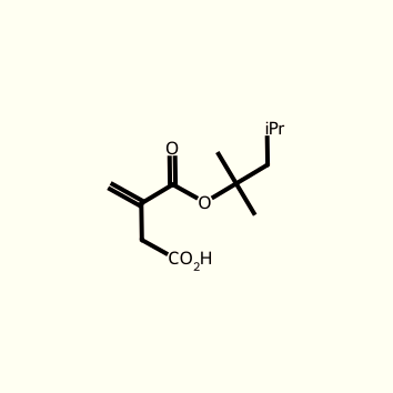 C=C(CC(=O)O)C(=O)OC(C)(C)CC(C)C